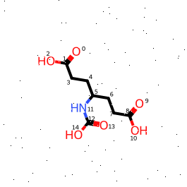 O=C(O)CCC(CCC(=O)O)NC(=O)O